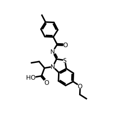 CCOc1ccc2c(c1)s/c(=N\C(=O)c1ccc(C)cc1)n2C(CC)C(=O)O